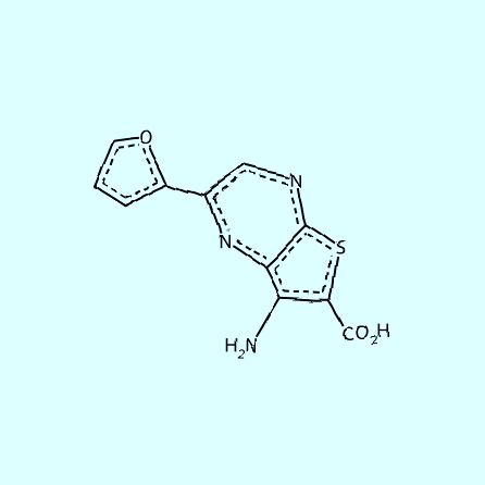 Nc1c(C(=O)O)sc2ncc(-c3ccco3)nc12